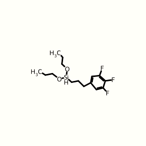 CCCO[SiH](CCCc1cc(F)c(F)c(F)c1)OCCC